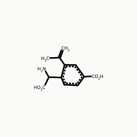 C=C(C)c1cc(C(=O)O)ccc1C(N)C(=O)O